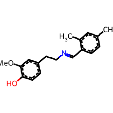 COc1cc(CC/N=C/c2ccc(C)cc2C)ccc1O